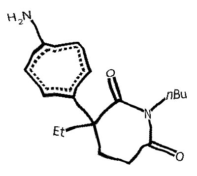 CCCCN1C(=O)CCC(CC)(c2ccc(N)cc2)C1=O